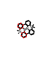 C[Si]1(C)c2ccccc2B(N2c3c(-c4ccccc4)cccc3[Si](C)(C)c3cccc(-c4ccccc4)c32)c2ccccc21